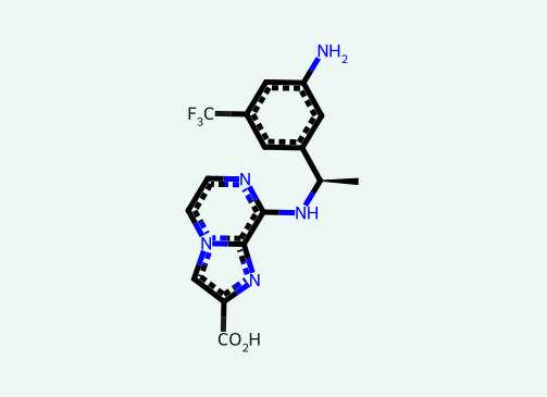 C[C@@H](Nc1nccn2cc(C(=O)O)nc12)c1cc(N)cc(C(F)(F)F)c1